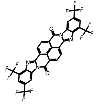 O=c1c2ccc3c4c(ccc(c24)c2nc4c(C(F)(F)F)cc(C(F)(F)F)cc4n12)c(=O)n1c2cc(C(F)(F)F)cc(C(F)(F)F)c2nc31